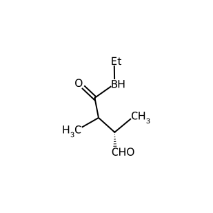 CCBC(=O)C(C)[C@H](C)C=O